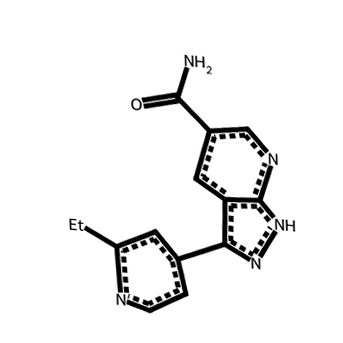 CCc1cc(-c2n[nH]c3ncc(C(N)=O)cc23)ccn1